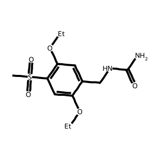 CCOc1cc(S(C)(=O)=O)c(OCC)cc1CNC(N)=O